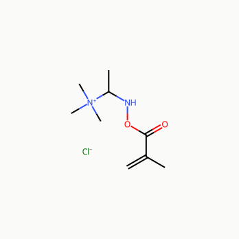 C=C(C)C(=O)ONC(C)[N+](C)(C)C.[Cl-]